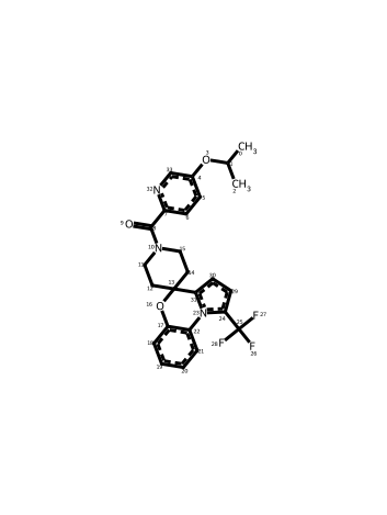 CC(C)Oc1ccc(C(=O)N2CCC3(CC2)Oc2ccccc2-n2c(C(F)(F)F)ccc23)nc1